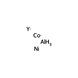 [AlH3].[Co].[Ni].[Y]